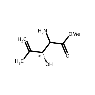 C=C(C)[C@@H](O)C(N)C(=O)OC